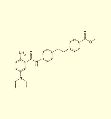 CCN(CC)c1ccc(N)c(C(=O)Nc2ccc(CCc3ccc(C(=O)OC)cc3)cc2)c1